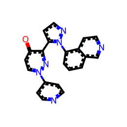 O=c1ccn(-c2ccncc2)nc1-c1ccnn1-c1cccc2cnccc12